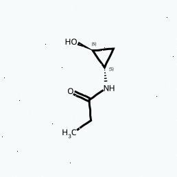 CCC(=O)N[C@H]1C[C@@H]1O